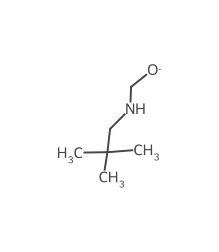 CC(C)(C)CNC[O]